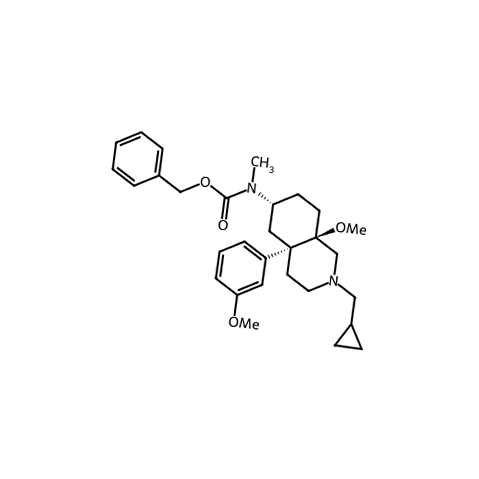 COc1cccc([C@@]23CCN(CC4CC4)C[C@@]2(OC)CC[C@@H](N(C)C(=O)OCc2ccccc2)C3)c1